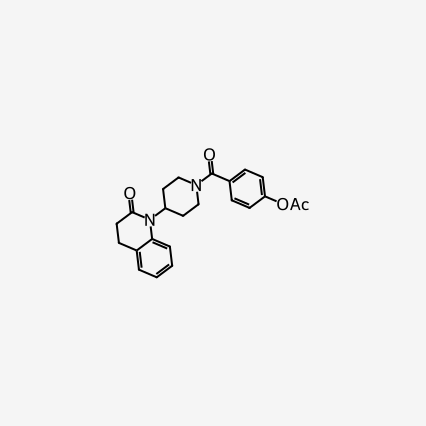 CC(=O)Oc1ccc(C(=O)N2CCC(N3C(=O)CCc4ccccc43)CC2)cc1